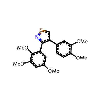 COc1cc(OC)c(OC)c(-c2nscc2-c2ccc(OC)c(OC)c2)c1